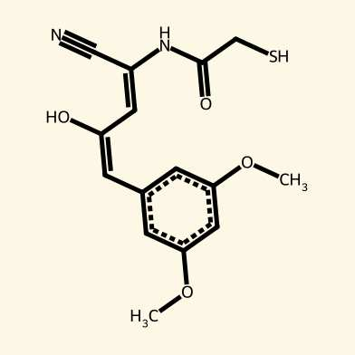 COc1cc(/C=C(O)\C=C(/C#N)NC(=O)CS)cc(OC)c1